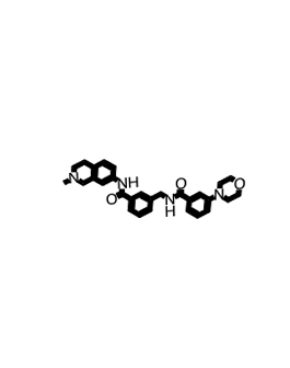 CN1CCc2ccc(NC(=O)c3cccc(CNC(=O)c4cccc(N5CCOCC5)c4)c3)cc2C1